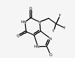 O=c1[nH]c(=O)n(CC(F)(F)F)c2nc(Cl)[nH]c12